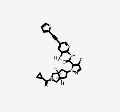 Cc1cc(C#Cc2cccs2)cnc1NC(=O)c1c(Cl)cnn1C1C[C@@H]2CN(C(=O)C3CC3)C[C@@H]2C1